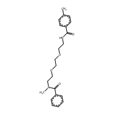 Cc1ccc(C(=O)NCCOCCOCCN(C)C(=O)c2ccccc2)cc1